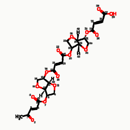 CC(=O)C=CC(=O)O[C@@H]1CO[C@H]2[C@@H]1OC[C@H]2OC(=O)C=CC(=O)O[C@H]1CO[C@H]2[C@@H]1OC[C@H]2OC(=O)C=CC(=O)O